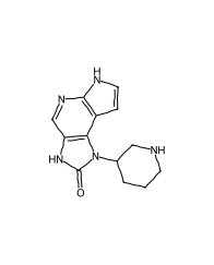 O=c1[nH]c2cnc3[nH]ccc3c2n1C1CCCNC1